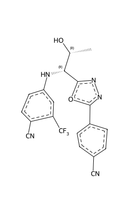 C[C@@H](O)[C@@H](Nc1ccc(C#N)c(C(F)(F)F)c1)c1nnc(-c2ccc(C#N)cc2)o1